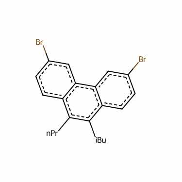 CCCc1c(C(C)CC)c2ccc(Br)cc2c2cc(Br)ccc12